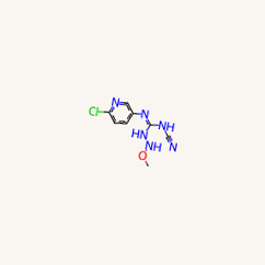 CONNC(=Nc1ccc(Cl)nc1)NC#N